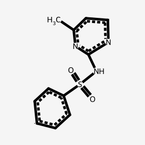 Cc1ccnc(NS(=O)(=O)c2cc[c]cc2)n1